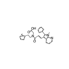 Cn1c(-c2ccccc2)c(C=CC(=O)N(CCc2cccs2)CC(=O)O)c2cccnc21